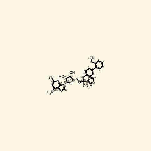 N#CCc1ccccc1-c1ccc(C[C@](OC[C@H]2O[C@@H](n3cnc4c(N)nc(Cl)nc43)[C@H](O)[C@@H]2O)(C(=O)O)c2cscn2)cc1